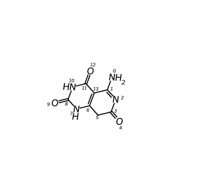 NC1=NC(=O)Cc2[nH]c(=O)[nH]c(=O)c21